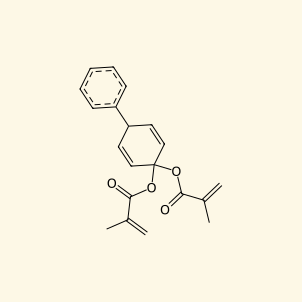 C=C(C)C(=O)OC1(OC(=O)C(=C)C)C=CC(c2ccccc2)C=C1